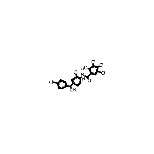 N#CC(c1ccc(Cl)cc1)c1ccc(NC(=O)c2cc(Cl)c(Cl)c(Cl)c2O)c(Cl)c1